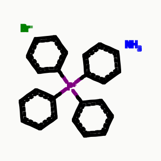 N.[Br-].c1ccc([P+](c2ccccc2)(c2ccccc2)c2ccccc2)cc1